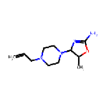 C=CCN1CCN(C2N=C(N)OC2C)CC1